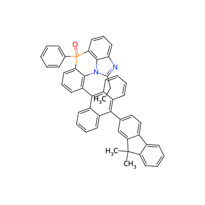 CCc1nc2cccc3c2n1-c1c(-c2c4ccccc4c(-c4ccc5c(c4)C(C)(C)c4ccccc4-5)c4ccccc24)cccc1P3(=O)c1ccccc1